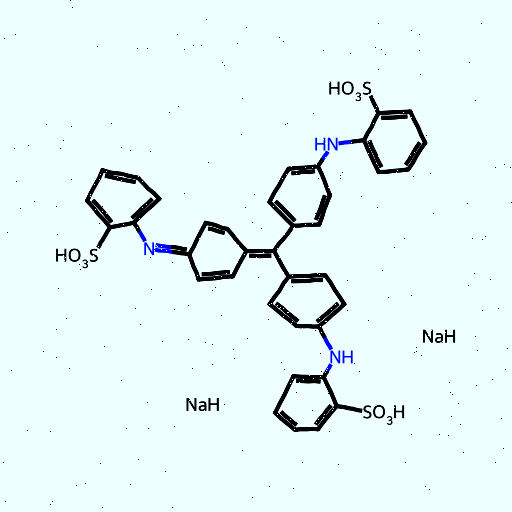 O=S(=O)(O)c1ccccc1N=C1C=CC(=C(c2ccc(Nc3ccccc3S(=O)(=O)O)cc2)c2ccc(Nc3ccccc3S(=O)(=O)O)cc2)C=C1.[NaH].[NaH]